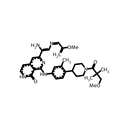 C=C(/C=N\C=C(/N)c1cc2cc[nH]c(=O)c2c(Nc2ccc(C3CCN(C(=O)C(C)(C)COC)CC3)c(C)c2)n1)OC